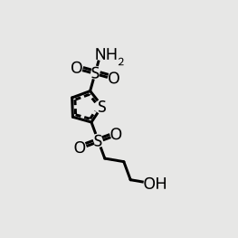 NS(=O)(=O)c1ccc(S(=O)(=O)CCCO)s1